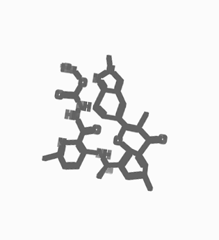 Cc1cc([C@@H](C)Nc2ccc(C)nc2C(=O)NNC(=O)OC(C)(C)C)c2oc(-c3ccc4nn(C)cc4c3)c(C)c(=O)c2c1